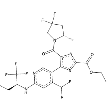 CCOC(=O)c1nc(C(=O)N2CC(F)(F)C[C@@H]2C)c(-c2cnc(N[C@@H](CC)C(F)(F)F)cc2C(F)F)s1